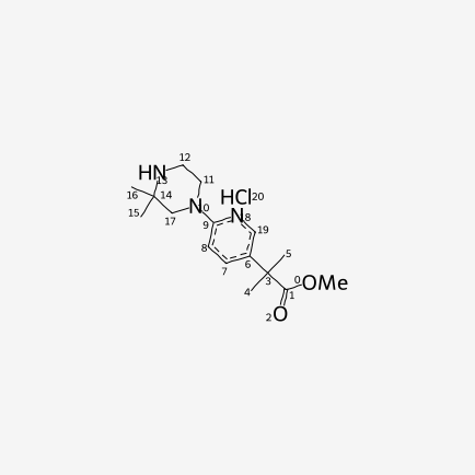 COC(=O)C(C)(C)c1ccc(N2CCNC(C)(C)C2)nc1.Cl